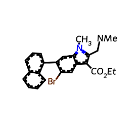 CCOC(=O)c1c(CNC)n(C)c2cc(-c3cccc4ccccc34)c(Br)cc12